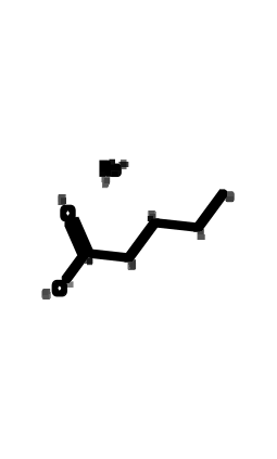 CCCCC(=O)[O-].[Rb+]